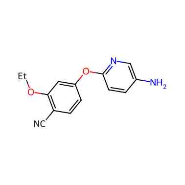 CCOc1cc(Oc2ccc(N)cn2)ccc1C#N